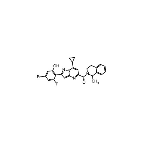 CC1c2ccccc2CCN1C(=O)c1cc(C2CC2)n2nc(-c3c(O)cc(Br)cc3F)cc2n1